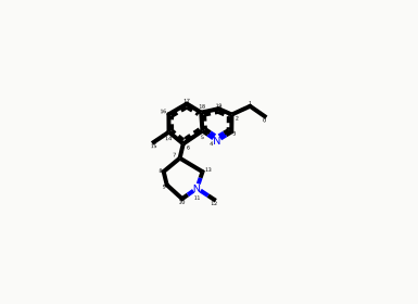 CCc1cnc2c(C3CCCN(C)C3)c(C)ccc2c1